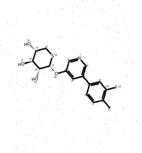 Cc1ccc(-c2cncc(O[C@H]3SC[C@@H](O)[C@H](O)[C@H]3O)c2)cc1F